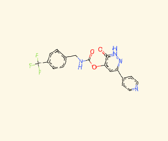 O=C(NCc1ccc(C(F)(F)F)cc1)Oc1cc(-c2ccncc2)n[nH]c1=O